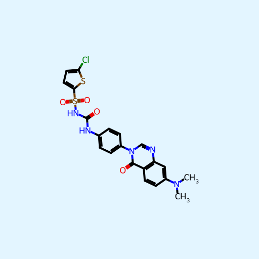 CN(C)c1ccc2c(=O)n(-c3ccc(NC(=O)NS(=O)(=O)c4ccc(Cl)s4)cc3)cnc2c1